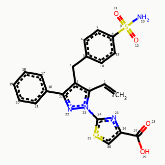 C=Cc1c(Cc2ccc(S(N)(=O)=O)cc2)c(-c2ccccc2)nn1-c1nc(C(=O)O)cs1